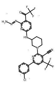 N#Cc1c(C(F)(F)F)cc(-c2cccc(Cl)c2)nc1N1CCCC(Nc2ccc(C(=O)C(F)(F)F)c(N=NN)n2)C1